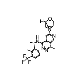 Cc1c([C@@H](C)Nc2nnc(C)c3cnc(N4C[C@H]5CC4CO5)cc23)cccc1C(F)(F)F